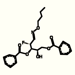 CCCCON=C[C@@H](F)[C@H](OC(=O)c1ccccc1)[C@H](O)COC(=O)c1ccccc1